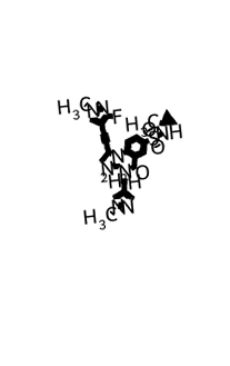 [2H]C([2H])(c1cnn(C)c1)N1C(=O)c2cc(S(=O)(=O)NC3(C)CC3)ccc2N2C1=NCC2C#Cc1cn(C)nc1F